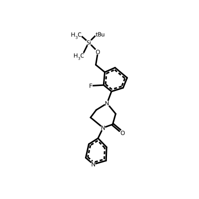 CC(C)(C)[Si](C)(C)OCc1cccc(N2CCN(c3ccncc3)C(=O)C2)c1F